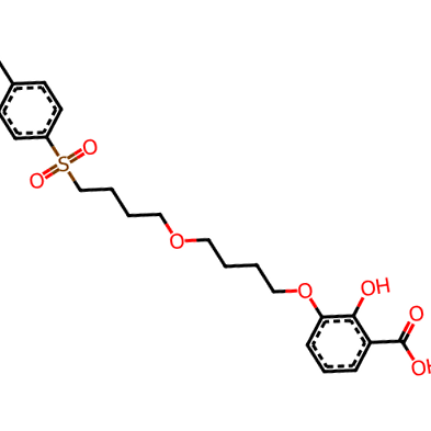 Cc1ccc(S(=O)(=O)CCCCOCCCCOc2cccc(C(=O)O)c2O)cc1